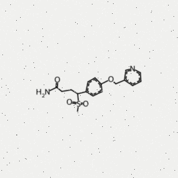 CS(=O)(=O)C(CCC(N)=O)c1ccc(OCc2cccnc2)cc1